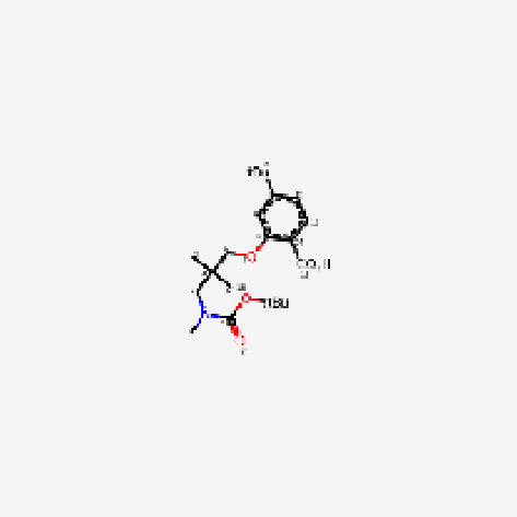 CN(CC(C)(C)COc1cc(C(C)(C)C)ccc1C(=O)O)C(=O)OC(C)(C)C